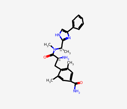 Cc1cc(C(N)=O)cc(C)c1C[C@H](N)C(=O)N(C)[C@@H](C)c1nc(-c2ccccc2)c[nH]1